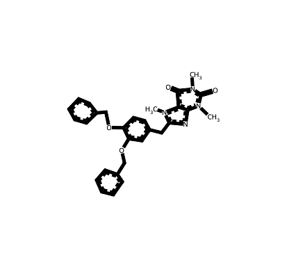 Cn1c(=O)c2c(nc(Cc3ccc(OCc4ccccc4)c(OCc4ccccc4)c3)n2C)n(C)c1=O